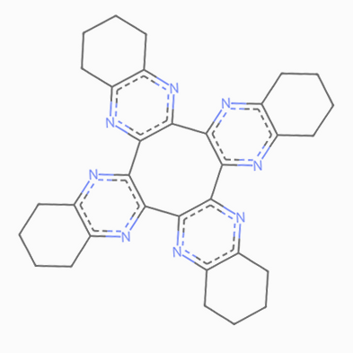 C1CCc2nc3c(nc2C1)-c1nc2c(nc1-c1nc4c(nc1-c1nc5c(nc1-3)CCCC5)CCCC4)CCCC2